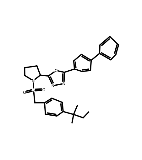 CCC(C)(C)c1ccc(CS(=O)(=O)N2CCCC2c2nnc(-c3ccc(-c4ccccc4)cc3)o2)cc1